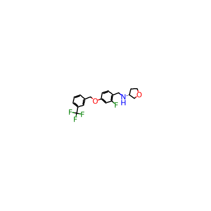 Fc1cc(OCc2cccc(C(F)(F)F)c2)ccc1CN[C@@H]1CCOC1